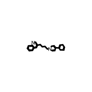 C1=CCC(C2=CCN(CCCCc3cnc4ccccc4c3)C=C2)=CC1